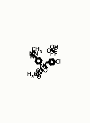 Cn1nnc(C2CCC(N3C[C@H](CS(C)(=O)=O)OC[C@@H]3Cc3ccc(Cl)cc3)CC2)n1.O=C(O)C(F)(F)F